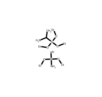 CCC[Si](N)(OCC)OCC.CCO[Si](OCC)(OCC)C(C)N